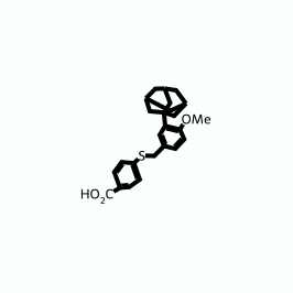 COc1ccc(CSc2ccc(C(=O)O)cc2)cc1C12CC3CC(CC(C3)C1)C2